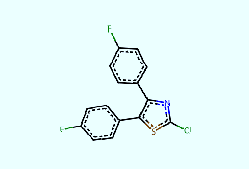 Fc1ccc(-c2nc(Cl)sc2-c2ccc(F)cc2)cc1